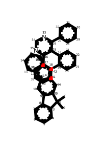 CC1(C)c2ccccc2-c2cc3c4ccccc4n(-c4ccccc4-c4c(-c5ccccc5)ncnc4-c4ccccc4)c3cc21